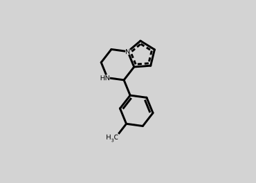 CC1C=C(C2NCCn3cccc32)C=CC1